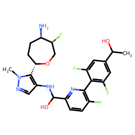 CC(O)c1cc(F)c(-c2nc(C(O)Nc3cnn(C)c3[C@@H]3CC[C@@H](N)[C@@H](F)CO3)ccc2F)c(F)c1